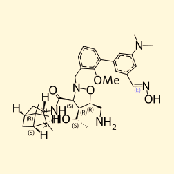 COc1c(CN2O[C@@H](CN)[C@@H]([C@H](C)O)[C@H]2C(=O)N[C@H]2C[C@H]3C[C@@H]([C@@H]2C)C3(C)C)cccc1-c1cc(/C=N/O)cc(N(C)C)c1